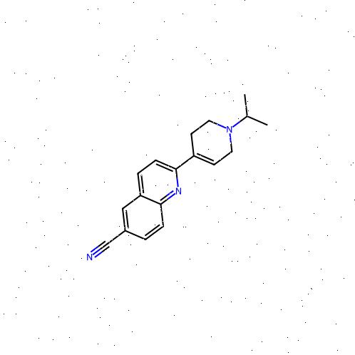 CC(C)N1CC=C(c2ccc3cc(C#N)ccc3n2)CC1